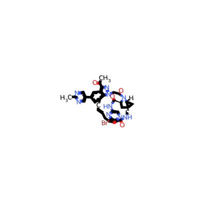 CC(=O)c1nn2c3c(cc(-c4cnc(C)nc4)cc13)C/C=C/CCCC(=O)NC[C@@]13C[C@@H](C(=O)Nc4cncc(Br)n4)N(C(=O)C2)[C@@H]1C3